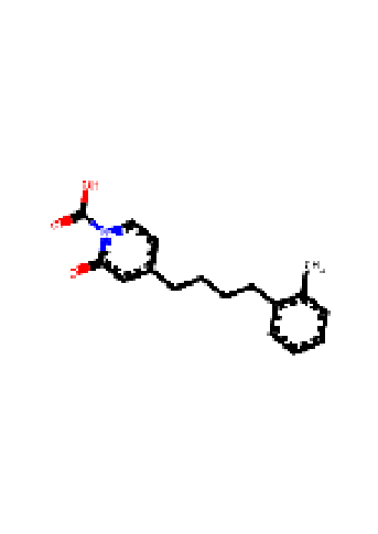 Cc1ccccc1CCCCc1ccn(C(=O)O)c(=O)c1